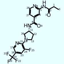 CCC(=O)Nc1cc(C(=O)N[C@@H]2CCN(c3ncc(C(F)(F)F)cc3F)C2)ccn1